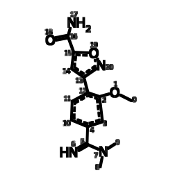 COc1cc(C(=N)N(C)C)ccc1-c1cc(C(N)=O)on1